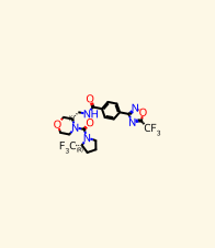 O=C(NC[C@H]1COCCN1C(=O)N1CCC[C@@H]1C(F)(F)F)c1ccc(-c2noc(C(F)(F)F)n2)cc1